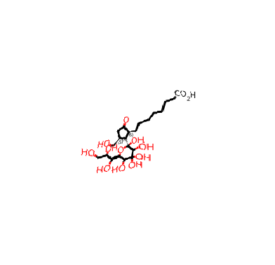 O=C(O)CCCCCCC[C@@H]1C(=O)C[C@H](CO)[C@H]1C1(O)OC(=C(O)C(O)CO)C(O)C(O)(O)C1O